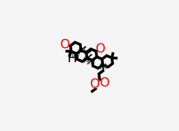 CCOC(=O)CC[C@]12CCC(C)(C)CC1C1C(=O)C=C3[C@@]4(C)CCC(=O)C(C)(C)[C@@H]4CC[C@@]3(C)[C@]1(C)CC2